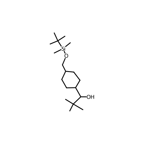 CC(C)(C)C(O)C1CCC(CO[Si](C)(C)C(C)(C)C)CC1